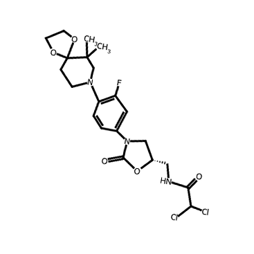 CC1(C)CN(c2ccc(N3C[C@H](CNC(=O)C(Cl)Cl)OC3=O)cc2F)CCC12OCCO2